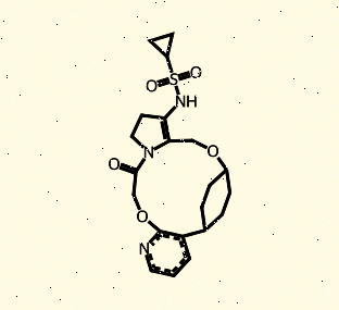 O=C1COc2ncccc2C2CCC(CC2)OCC2=C(NS(=O)(=O)C3CC3)CCN12